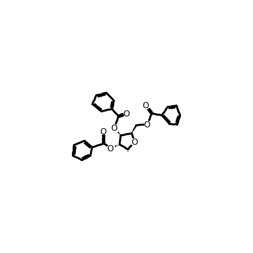 O=C(OC[C@H]1O[CH][C@H](OC(=O)c2ccccc2)[C@@H]1OC(=O)c1ccccc1)c1ccccc1